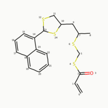 C=CC(=O)SCSC(C)CC1CSC(c2cccc3ccccc23)S1